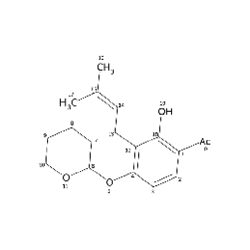 CC(=O)c1ccc(OC2CCCCO2)c(CC=C(C)C)c1O